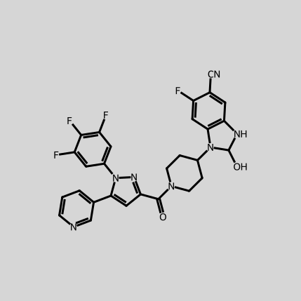 N#Cc1cc2c(cc1F)N(C1CCN(C(=O)c3cc(-c4cccnc4)n(-c4cc(F)c(F)c(F)c4)n3)CC1)C(O)N2